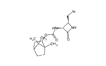 CC1(C)C2CCC1(C)C(OC(=O)N[C@@H]1C(=O)N[C@@H]1CBr)C2